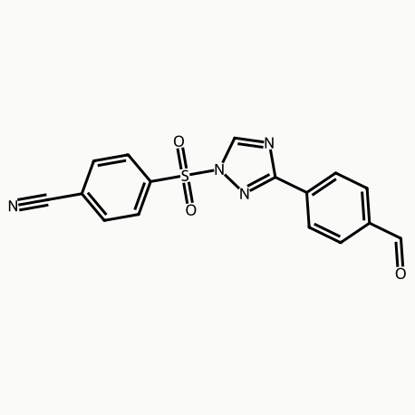 N#Cc1ccc(S(=O)(=O)n2cnc(-c3ccc(C=O)cc3)n2)cc1